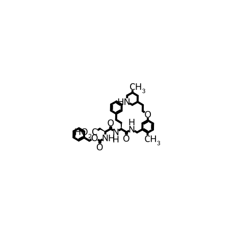 Cc1ccc(OCCC2CNCC(C)C2)cc1CNC(=O)[C@H](CCc1ccccc1)NC(=O)[C@H](CC(=O)O)NC(=O)OCc1ccccc1